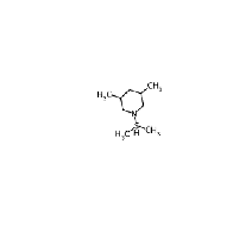 CC1CC(C)CN([SH](C)C)C1